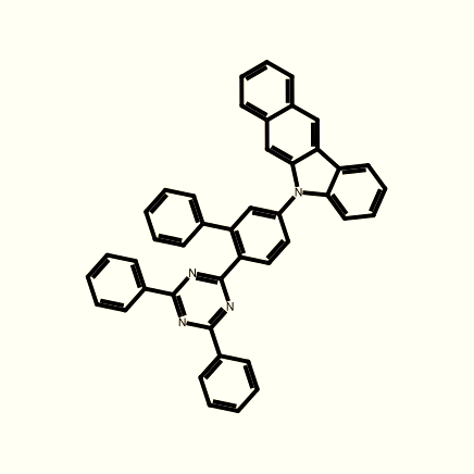 c1ccc(-c2nc(-c3ccccc3)nc(-c3ccc(-n4c5ccccc5c5cc6ccccc6cc54)cc3-c3ccccc3)n2)cc1